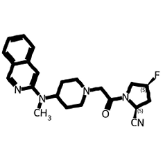 CN(c1cc2ccccc2cn1)C1CCN(CC(=O)N2C[C@@H](F)C[C@H]2C#N)CC1